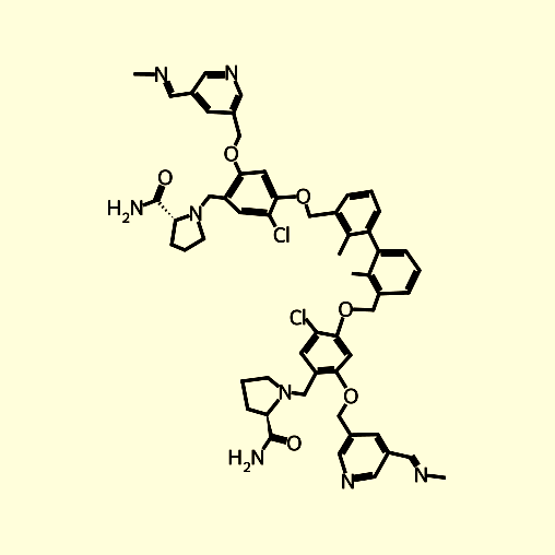 C/N=C/c1cncc(COc2cc(OCc3cccc(-c4cccc(COc5cc(OCc6cncc(/C=N/C)c6)c(CN6CCC[C@@H]6C(N)=O)cc5Cl)c4C)c3C)c(Cl)cc2CN2CCC[C@@H]2C(N)=O)c1